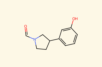 O=CN1CCC(c2cccc(O)c2)C1